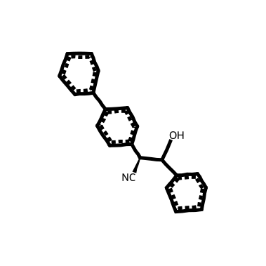 N#C[C@@H](c1ccc(-c2ccccc2)cc1)C(O)c1ccccc1